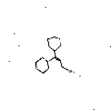 BCC=C(C1CCCCC1)C1CCCCC1